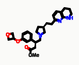 COC(=O)C[C@H](CN1CC[C@@H](CCc2ccc3c(n2)NCCC3)C1)c1cccc(OC2COC2)c1